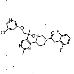 Cc1ncc(C(C)(O)COc2cncc(Cl)c2)c(C2CCN(C(=O)Cc3c(F)cccc3F)CC2)n1